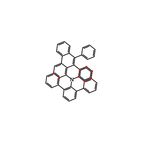 c1ccc(-c2cccc(-c3ccccc3)c2N(c2ccccc2)c2cccc3c2c(-c2ccccc2)c(-c2ccccc2)c2ccccc23)cc1